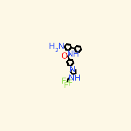 Nc1ccc(-c2ccccc2)c(NC(=O)c2ccc(N3CCC(NCC(F)(F)F)C3)cc2)c1